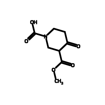 COC(=O)C1CN(C(=O)O)CCC1=O